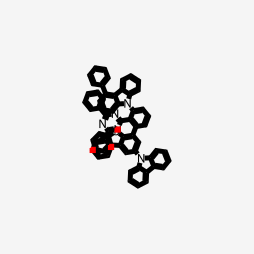 c1ccc(-c2nc(-c3ccccc3)nc(-c3c(-c4cc(-n5c6ccccc6c6ccccc65)cc5c4sc4ccccc45)cccc3-n3c4ccccc4c4c(-c5ccccc5)cccc43)n2)cc1